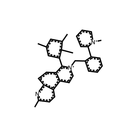 Cc1cc(C)c(C)c(-c2c3ccc4nc(C)ccc4c3cc[n+]2Cc2ccccc2-c2cccc[n+]2C)c1